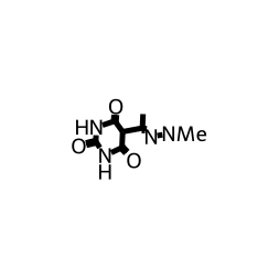 CN/N=C(\C)C1C(=O)NC(=O)NC1=O